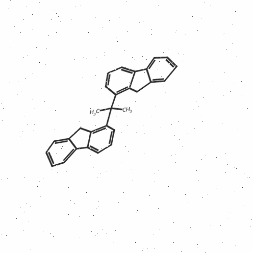 CC(C)(c1cccc2c1[CH]c1ccccc1-2)c1cccc2c1[CH]c1ccccc1-2